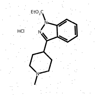 CCOC(=O)n1nc(C2CCN(C)CC2)c2ccccc21.Cl